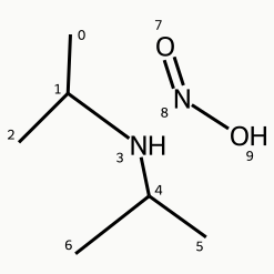 CC(C)NC(C)C.O=NO